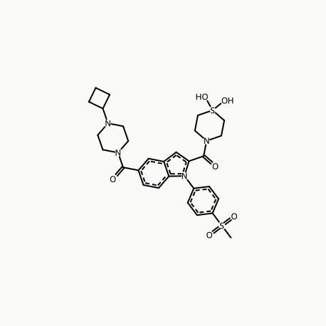 CS(=O)(=O)c1ccc(-n2c(C(=O)N3CCS(O)(O)CC3)cc3cc(C(=O)N4CCN(C5CCC5)CC4)ccc32)cc1